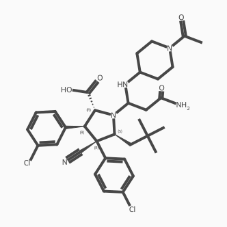 CC(=O)N1CCC(NC(CC(N)=O)N2[C@@H](CC(C)(C)C)[C@](C#N)(c3ccc(Cl)cc3)[C@@H](c3cccc(Cl)c3)[C@@H]2C(=O)O)CC1